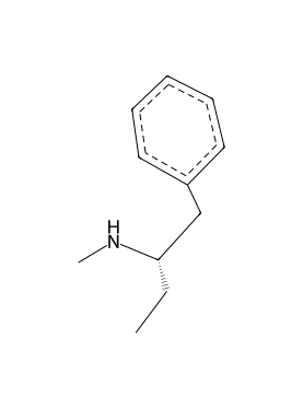 CC[C@@H](Cc1ccccc1)NC